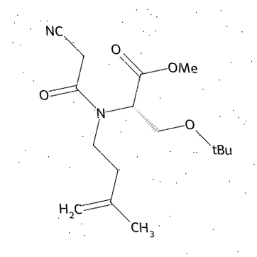 C=C(C)CCN(C(=O)CC#N)[C@@H](COC(C)(C)C)C(=O)OC